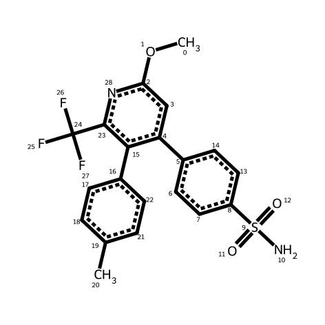 COc1cc(-c2ccc(S(N)(=O)=O)cc2)c(-c2ccc(C)cc2)c(C(F)(F)F)n1